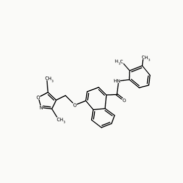 Cc1cccc(NC(=O)c2ccc(OCc3c(C)noc3C)c3ccccc23)c1C